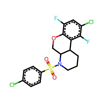 O=S(=O)(c1ccc(Cl)cc1)N1CCCC2c3c(F)c(Cl)cc(F)c3OCC21